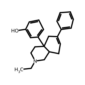 CCN1CCC2(c3cccc(O)c3)CC(c3ccccc3)=CCC2C1